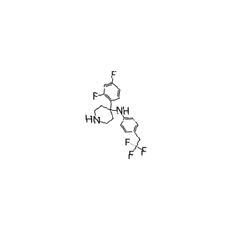 Fc1ccc(C2(Nc3ccc(CC(F)(F)F)cc3)CCNCC2)c(F)c1